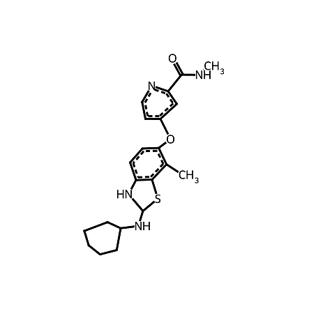 CNC(=O)c1cc(Oc2ccc3c(c2C)SC(NC2CCCCC2)N3)ccn1